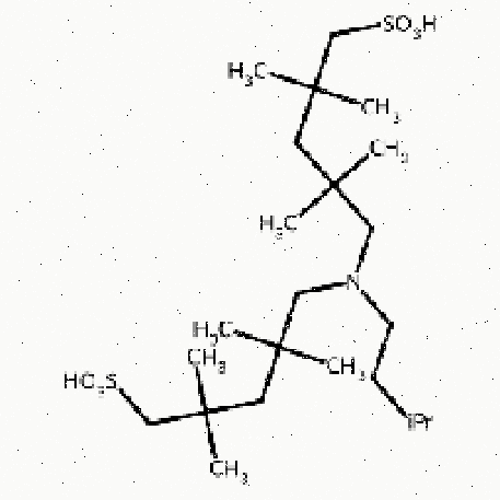 CC(C)CCN(CC(C)(C)CC(C)(C)CS(=O)(=O)O)CC(C)(C)CC(C)(C)CS(=O)(=O)O